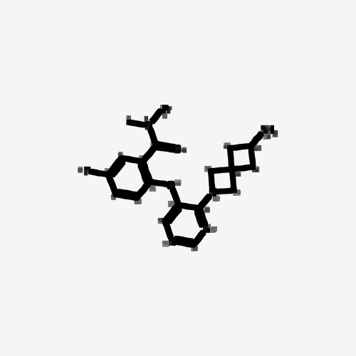 CC(C)N(C)C(=O)c1cc(F)ccc1Oc1cncnc1N1CC2(CC(N)C2)C1